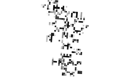 CC(C)c1nc(N2CCN(C(=O)c3c[nH]c4ccccc34)CC2c2ccccc2)c(C#N)cc1-c1ccccc1